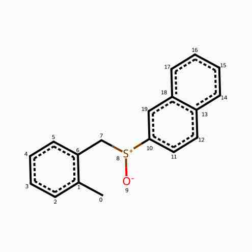 Cc1ccccc1C[S+]([O-])c1ccc2ccccc2c1